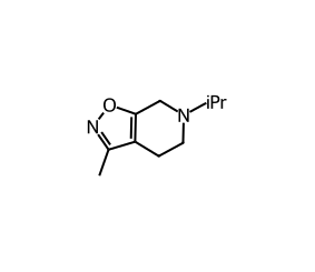 Cc1noc2c1CCN(C(C)C)C2